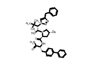 CC(C)(C)[C@@H](C(O)N1C[C@H](O)C[C@H]1C(=O)N[C@H](Cc1ccc(-c2ccccc2)cc1)C(N)=O)n1cc(Cc2ccccc2)nn1